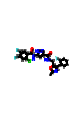 Cc1nc(-c2ccccc2F)c(CNC(=O)c2cc(NC(=O)c3cc(F)c(F)cc3Cl)[nH]n2)o1